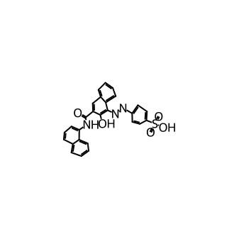 O=C(Nc1cccc2ccccc12)c1cc2ccccc2c(/N=N/c2ccc(S(=O)(=O)O)cc2)c1O